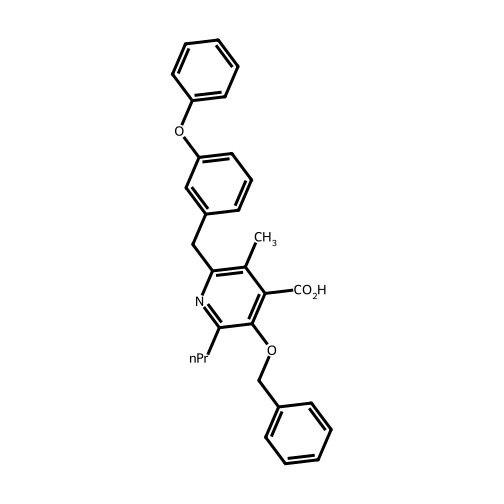 CCCc1nc(Cc2cccc(Oc3ccccc3)c2)c(C)c(C(=O)O)c1OCc1ccccc1